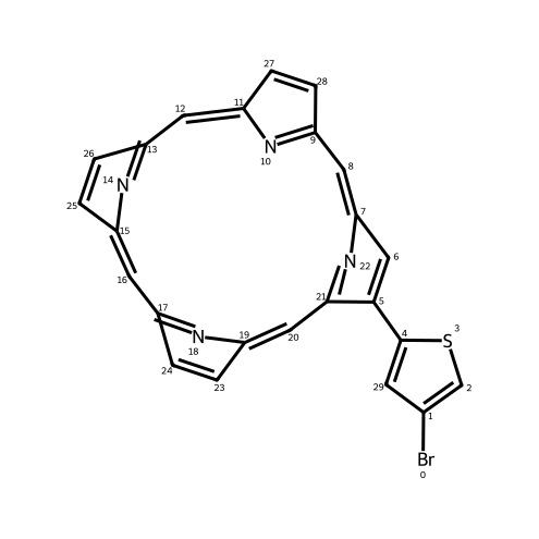 Brc1csc(C2=CC3=CC4=NC(=CC5=NC(=CC6=NC(=CC2=N3)C=C6)C=C5)C=C4)c1